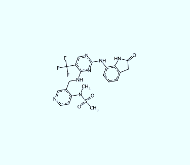 CN(c1ccncc1CNc1nc(Nc2cccc3c2NC(=O)C3)ncc1C(F)(F)F)S(C)(=O)=O